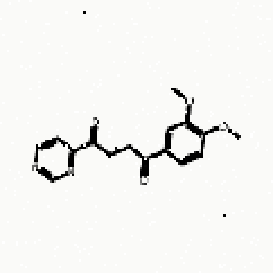 COc1ccc(C(=O)CCC(=O)c2ccncn2)cc1OC